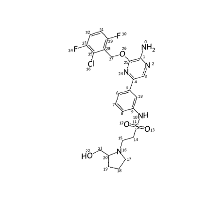 Nc1ncc(-c2cccc(NS(=O)(=O)CCN3CCCC3CO)c2)nc1OCc1c(F)ccc(F)c1Cl